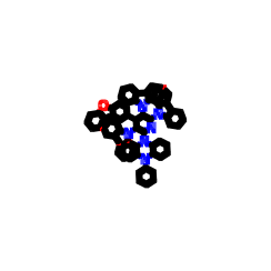 c1ccc(N2c3ccccc3N(c3nc(-n4c5ccccc5c5ccccc54)c(-n4c5ccccc5c5ccccc54)c(-c4ccc5oc6ccccc6c5c4)c3-n3c4ccccc4c4ccccc43)c3ccccc32)cc1